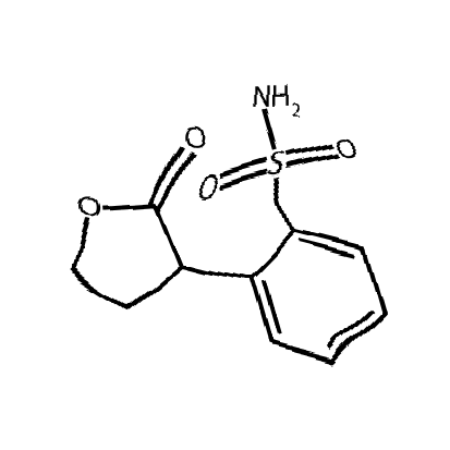 NS(=O)(=O)c1ccccc1C1CCOC1=O